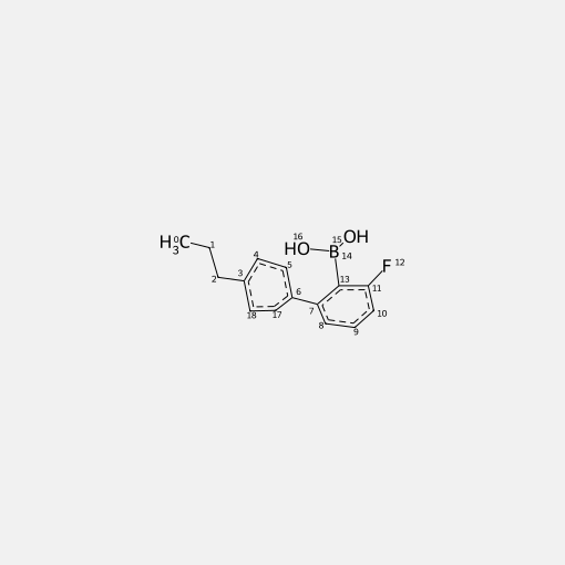 CCCc1ccc(-c2cccc(F)c2B(O)O)cc1